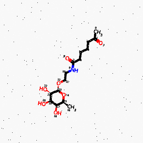 CC(=O)CCCCC(=O)NCCO[C@@H]1O[C@@H](C)[C@@H](O)[C@@H](O)[C@@H]1O